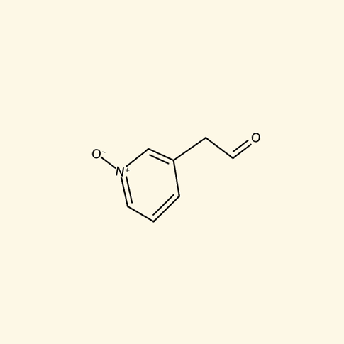 O=CCc1ccc[n+]([O-])c1